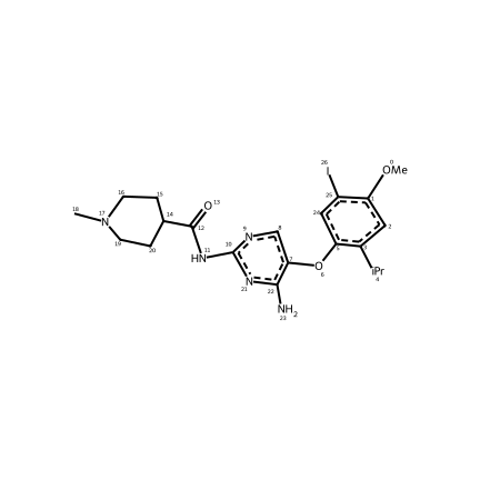 COc1cc(C(C)C)c(Oc2cnc(NC(=O)C3CCN(C)CC3)nc2N)cc1I